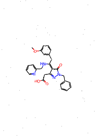 COc1cccc(CC(NCc2ccccn2)=C2C(=O)N(Cc3ccccc3)N=C2CC(=O)O)c1